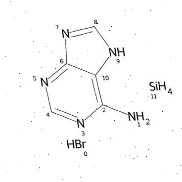 Br.Nc1ncnc2nc[nH]c12.[SiH4]